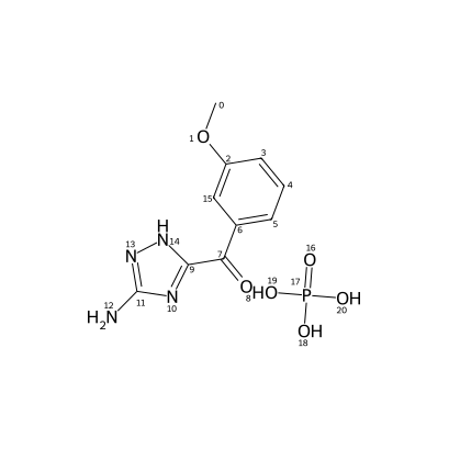 COc1cccc(C(=O)c2nc(N)n[nH]2)c1.O=P(O)(O)O